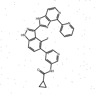 O=C(Nc1cncc(-c2ccc3[nH]nc(-c4nc5c(-c6ccccn6)nccc5[nH]4)c3c2F)c1)C1CC1